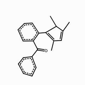 CC1=CC(C)=C(c2ccccc2C(=O)c2ccccc2)C1C